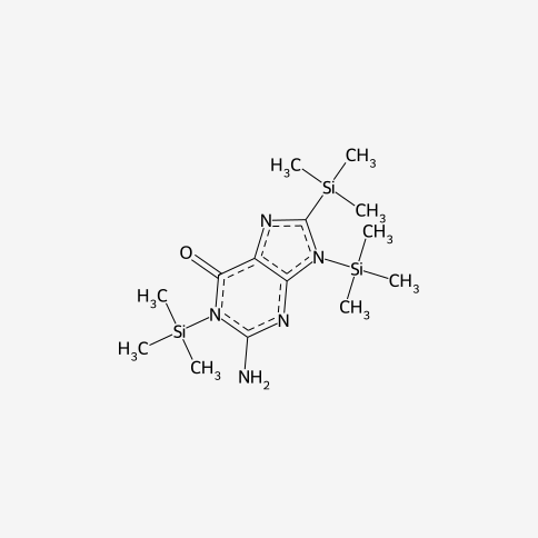 C[Si](C)(C)c1nc2c(=O)n([Si](C)(C)C)c(N)nc2n1[Si](C)(C)C